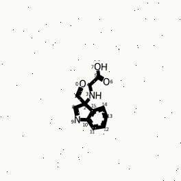 O=CC1(NCC(=O)O)C=Nc2ccccc21